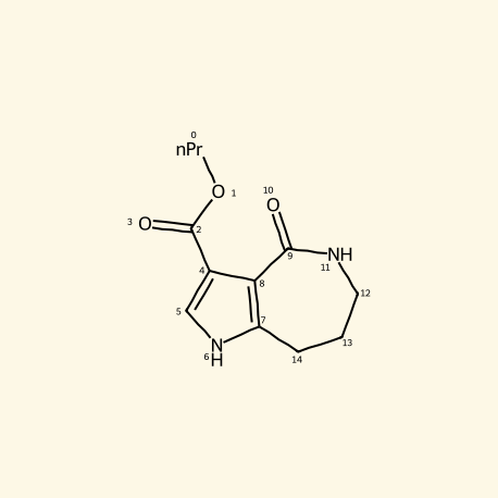 CCCOC(=O)c1c[nH]c2c1C(=O)NCCC2